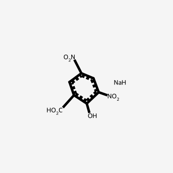 O=C(O)c1cc([N+](=O)[O-])cc([N+](=O)[O-])c1O.[NaH]